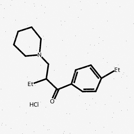 CCc1ccc(C(=O)C(CC)CN2CCCCC2)cc1.Cl